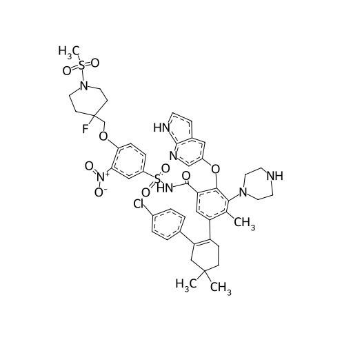 Cc1c(C2=C(c3ccc(Cl)cc3)CC(C)(C)CC2)cc(C(=O)NS(=O)(=O)c2ccc(OCC3(F)CCN(S(C)(=O)=O)CC3)c([N+](=O)[O-])c2)c(Oc2cnc3[nH]ccc3c2)c1N1CCNCC1